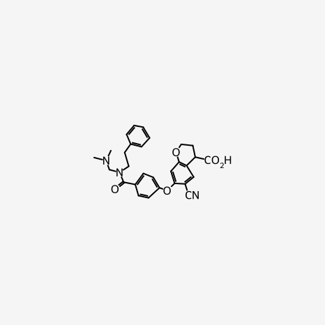 CN(C)CN(CCc1ccccc1)C(=O)c1ccc(Oc2cc3c(cc2C#N)C(C(=O)O)CCO3)cc1